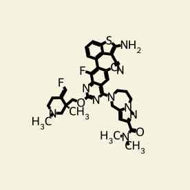 CN1CC/C(=C\F)[C@](C)(COc2nc(N3CCCn4nc(C(=O)N(C)C)cc4C3)c3cc(Cl)c(-c4cccc5sc(N)c(C#N)c45)c(F)c3n2)C1